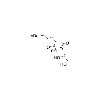 CCCCCCCCCCCCCC(CC(=O)OCC(O)CO)C(=O)CCC